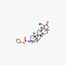 CC(C)C1=C2[C@H]3CC[C@@H]4[C@@]5(C)CCC(NC(=O)OC6CCCC6)C(C)(C)[C@@H]5CC[C@@]4(C)[C@]3(C)CC[C@@]2(C)CC1=O